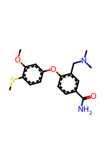 COc1cc(Oc2ccc(C(N)=O)cc2CN(C)C)ccc1SC